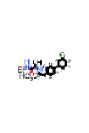 CCNC(=O)C(C)NC(Cc1ccc(-c2cccc(Cl)c2)cc1)C(=O)O